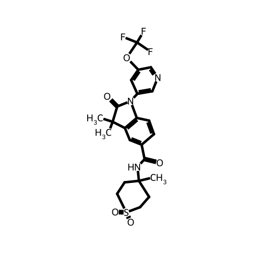 CC1(NC(=O)c2ccc3c(c2)C(C)(C)C(=O)N3c2cncc(OC(F)(F)F)c2)CCS(=O)(=O)CC1